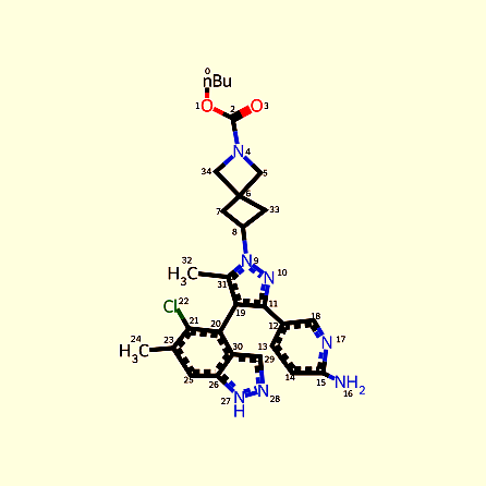 CCCCOC(=O)N1CC2(CC(n3nc(-c4ccc(N)nc4)c(-c4c(Cl)c(C)cc5[nH]ncc45)c3C)C2)C1